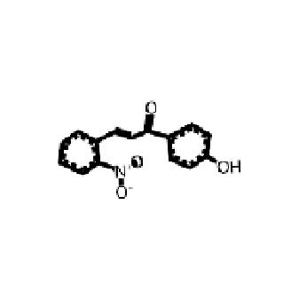 O=C(/C=C/c1ccccc1[N+](=O)[O-])c1ccc(O)cc1